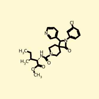 CC[C@H](C)[C@H](NC(=O)N1CCC2(CC1)C(=O)N(c1cccc(Cl)c1)C2c1cccnc1)C(=O)OC